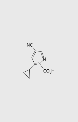 N#Cc1cnc(C(=O)O)c(C2CC2)c1